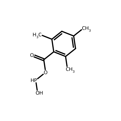 Cc1cc(C)c(C(=O)OPO)c(C)c1